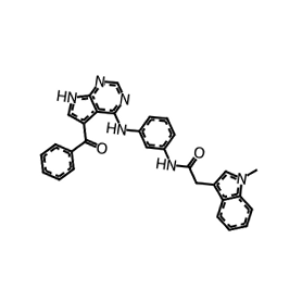 Cn1cc(CC(=O)Nc2cccc(Nc3ncnc4[nH]cc(C(=O)c5ccccc5)c34)c2)c2ccccc21